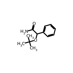 CC(C)(C)OC(C(N)=O)c1ccccc1